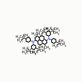 Cc1cc(N(c2ccc([Si](C)(C)C)cc2)c2cc([Si](C)(C)C)cc([Si](C)(C)C)c2)c2ccc3c(C)cc(N(c4ccc([Si](C)(C)C)cc4)c4cc([Si](C)(C)C)cc([Si](C)(C)C)c4)c4ccc1c2c34